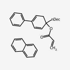 C=CC(=O)OC1(CCCCCCCCCC)C=CC(c2ccccc2)=CC1.c1ccc2ccccc2c1